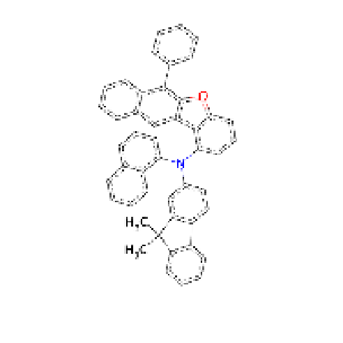 CC1(C)c2ccccc2-c2ccc(N(c3cccc4ccccc34)c3cccc4oc5c(-c6ccccc6)c6ccccc6cc5c34)cc21